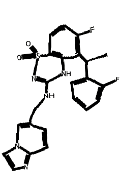 C[C@@H](c1ccccc1F)c1c(F)ccc2c1NC(NCc1ccc3nccn3c1)=NS2(=O)=O